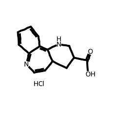 Cl.O=C(O)C1CNC2=c3ccccc3=NC=CC2C1